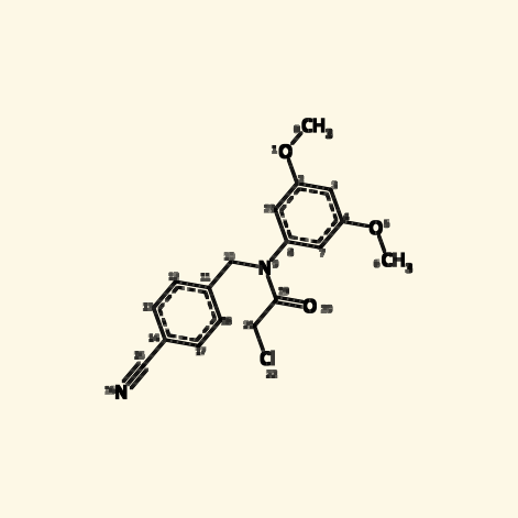 COc1cc(OC)cc(N(Cc2ccc(C#N)cc2)C(=O)CCl)c1